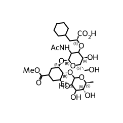 CCC1CC(C(=O)OC)C[C@@H](O[C@@H]2O[C@@H](CO)[C@H](O)C(O[C@@H](CC3CCCCC3)C(=O)O)C2NC(C)=O)[C@@H]1OC1O[C@@H](C)[C@H](O)C(O)[C@@H]1O